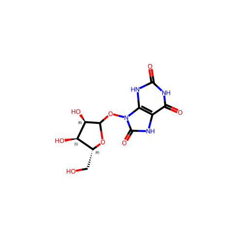 O=c1[nH]c(=O)c2[nH]c(=O)n(OC3O[C@H](CO)[C@@H](O)[C@H]3O)c2[nH]1